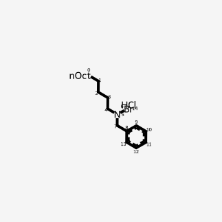 CCCCCCCCCCCCN(Br)Cc1ccccc1.Cl